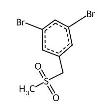 CS(=O)(=O)Cc1cc(Br)cc(Br)c1